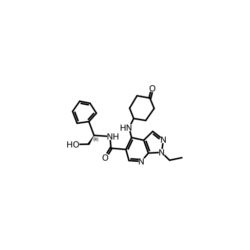 CCn1ncc2c(NC3CCC(=O)CC3)c(C(=O)N[C@@H](CO)c3ccccc3)cnc21